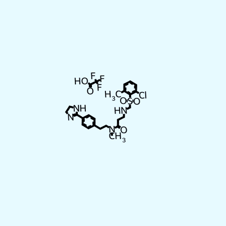 Cc1cccc(Cl)c1S(=O)(=O)CNCCC(=O)N(C)CCc1ccc(C2=NCCN2)cc1.O=C(O)C(F)(F)F